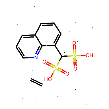 C=C.O=S(=O)(O)C(c1cccc2cccnc12)S(=O)(=O)O